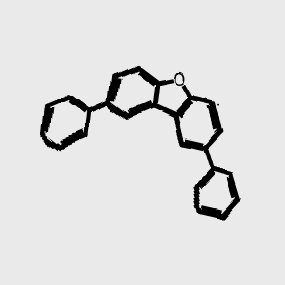 [c]1cc(-c2ccccc2)cc2c1oc1ccc(-c3ccccc3)cc12